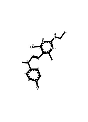 CCNc1nc(C)c(/C=C/C(C)c2ccc(Cl)cc2)c(N)n1